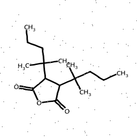 CCCC(C)(C)C1C(=O)OC(=O)C1C(C)(C)CCC